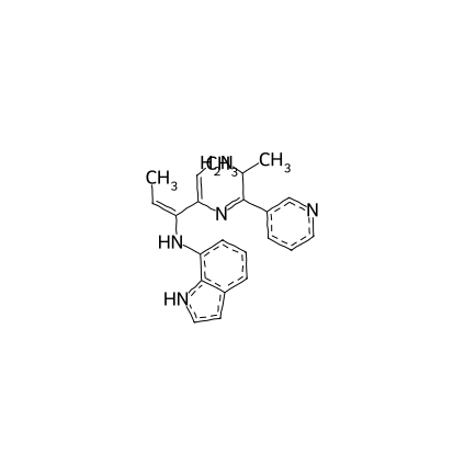 C/C=C(\N=C(\c1cccnc1)C(C)N)C(=C\C)/Nc1cccc2cc[nH]c12